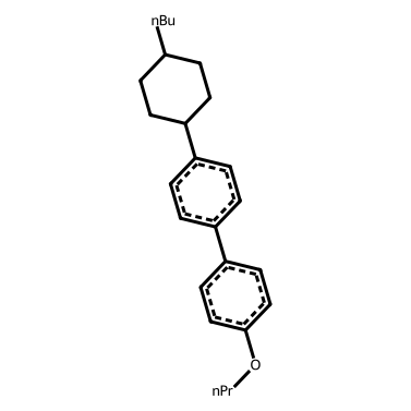 CCCCC1CCC(c2ccc(-c3ccc(OCCC)cc3)cc2)CC1